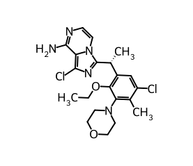 CCOc1c([C@@H](C)c2nc(Cl)c3c(N)nccn23)cc(Cl)c(C)c1N1CCOCC1